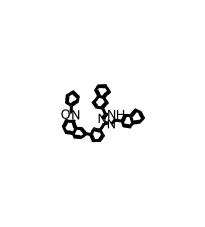 c1ccc(-c2nc3c(ccc4ccc(-c5cccc(C6=NC(c7ccc8ccccc8c7)NC(c7ccc8ccccc8c7)=N6)c5)cc43)o2)cc1